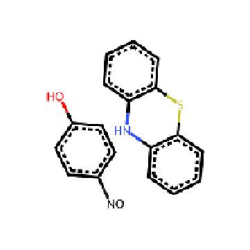 O=Nc1ccc(O)cc1.c1ccc2c(c1)Nc1ccccc1S2